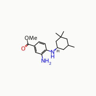 COC(=O)c1ccc(N[C@@H]2CC(C)CC(C)(C)C2)c(N)c1